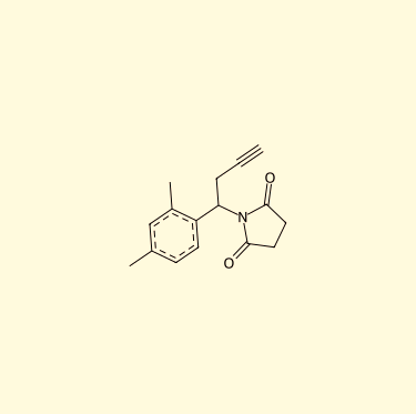 C#CCC(c1ccc(C)cc1C)N1C(=O)CCC1=O